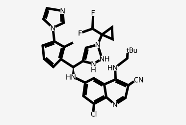 Cc1c([C@H](Nc2cc(Cl)c3ncc(C#N)c(NCC(C)(C)C)c3c2)C2=CN(C3(C(F)F)CC3)NN2)cccc1-n1ccnc1